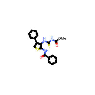 COC(=O)NC(=S)Nc1c(-c2ccccc2)csc1NC(=O)c1ccccc1